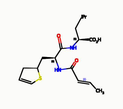 C/C=C/C(=O)N[C@@H](CC1CC=CS1)C(=O)N[C@@H](CC(C)C)C(=O)O